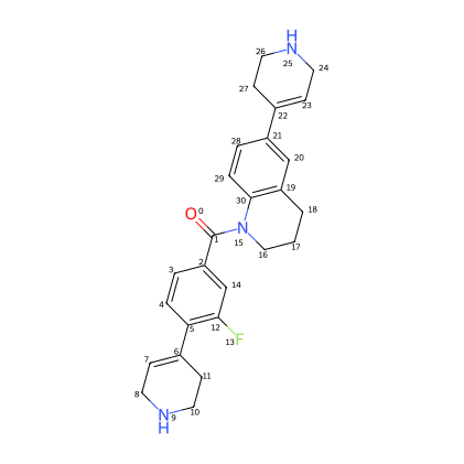 O=C(c1ccc(C2=CCNCC2)c(F)c1)N1CCCc2cc(C3=CCNCC3)ccc21